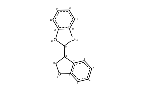 [C]1Oc2ccccc2C1C1Oc2ccccc2O1